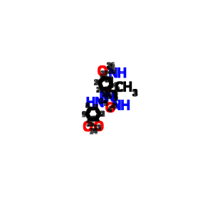 CC1=C2NOC(Nc3ccc4c(c3)OCO4)(N=C1)N2c1ccc2c(c1)NCO2